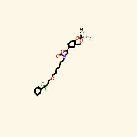 CC1(C)OCc2cc([C@H]3CN(CCCCCCOCCC(F)(F)c4ccccc4)C(=O)O3)ccc2O1